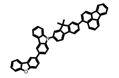 CC1(C)c2cc(-c3ccc4c5c(cccc35)-c3ccccc3-4)ccc2-c2ccc(-n3c4ccccc4c4cc(-c5ccc6oc7ccccc7c6c5)ccc43)cc21